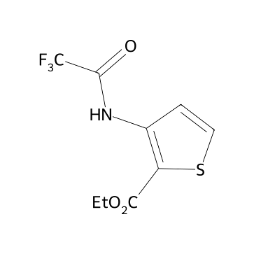 CCOC(=O)c1sccc1NC(=O)C(F)(F)F